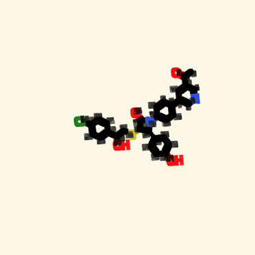 CC(=O)c1cncc(-c2ccc(N3C(=O)[C@H](SC[C@@H](O)c4ccc(Cl)cc4)[C@H]3c3ccc(O)cc3)cc2)c1